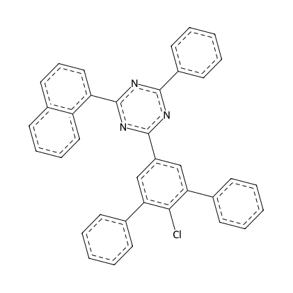 Clc1c(-c2ccccc2)cc(-c2nc(-c3ccccc3)nc(-c3cccc4ccccc34)n2)cc1-c1ccccc1